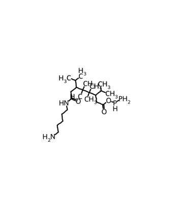 CC(C)C(CC(=O)NCCCCCN)C(C)(C)C(C)(C)C(CC(=O)OPP)C(C)C